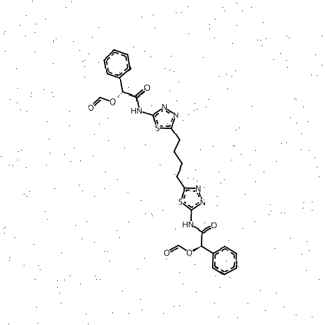 O=CO[C@@H](C(=O)Nc1nnc(CCCCc2nnc(NC(=O)[C@H](OC=O)c3ccccc3)s2)s1)c1ccccc1